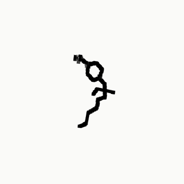 BN1CCN(CC(C)(CC)CCCCCC)CC1